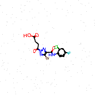 O=C(O)CCC(=O)n1nc(Br)c(C(=O)Nc2ccc(F)cc2Cl)n1